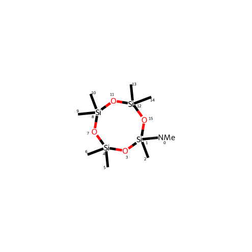 CN[Si]1(C)O[Si](C)(C)O[Si](C)(C)O[Si](C)(C)O1